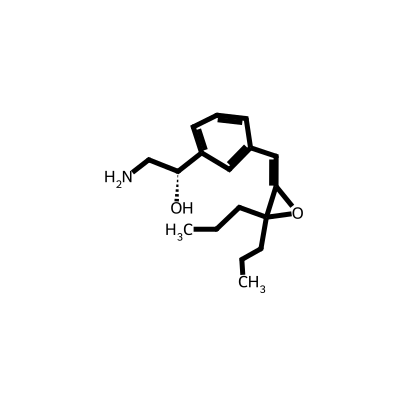 CCCC1(CCC)OC1=Cc1cccc([C@H](O)CN)c1